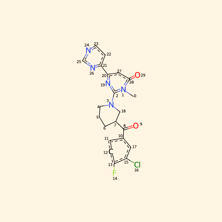 Cn1c(N2CCCC(C(=O)c3ccc(F)c(Cl)c3)C2)nc(-c2ccncn2)cc1=O